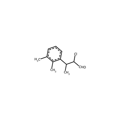 Cc1cccc(C(C)C(Cl)C=O)c1C